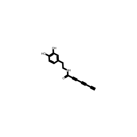 C#CC#CC#CC(=O)NCCc1ccc(O)c(O)c1